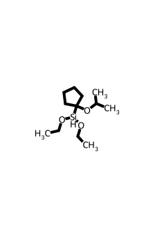 CCO[SiH](OCC)C1(OC(C)C)CCCC1